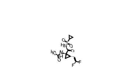 O=C(O)N[C@]1(C(=O)NS(=O)(=O)C2CC2)C[C@H]1C=C(F)F